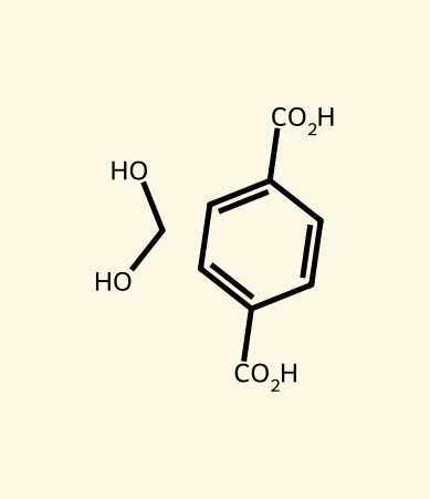 O=C(O)c1ccc(C(=O)O)cc1.OCO